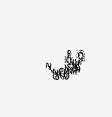 CC1(C(=O)NCC#N)COC(c2nc(-c3ccc(F)cc3)c(-c3ccnc(NCc4ccccc4)n3)[nH]2)OC1